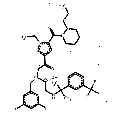 CCCC1CCCCN1C(=O)c1cc(C(=O)N[C@@H](Cc2cc(F)cc(F)c2)[C@H](O)CNC(C)(C)c2cccc(C(F)(F)F)c2)nn1CC